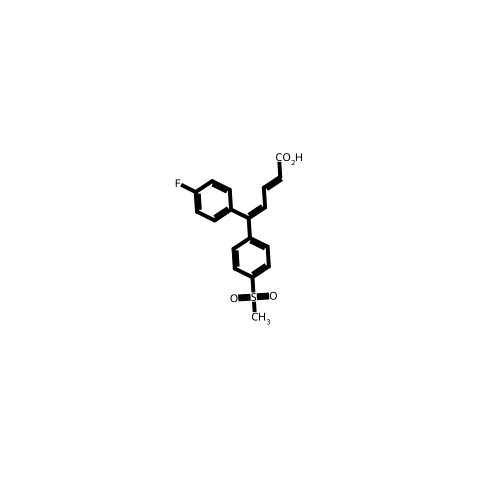 CS(=O)(=O)c1ccc(/C(=C/C=C/C(=O)O)c2ccc(F)cc2)cc1